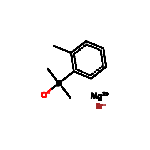 Cc1ccccc1[Si](C)(C)[O-].[Br-].[Mg+2]